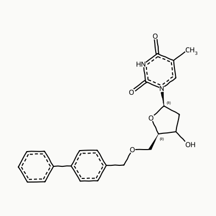 Cc1cn([C@H]2CC(O)[C@@H](COCc3ccc(-c4ccccc4)cc3)O2)c(=O)[nH]c1=O